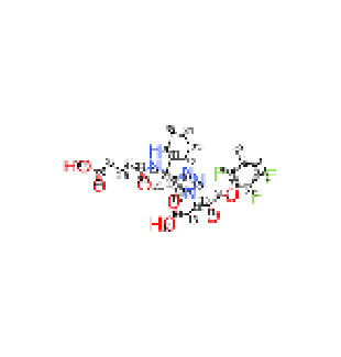 Cc1cc(F)c(F)c(OCC(=O)C(CC(=O)O)n2cc([C@@](C)(NC(=O)CCCC(=O)O)C3CCCCC3)nn2)c1F